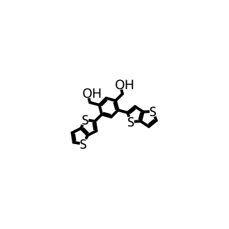 OCc1cc(CO)c(-c2cc3sccc3s2)cc1-c1cc2sccc2s1